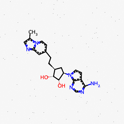 Cc1cnc2cc(CC[C@H]3C[C@@H](n4ccc5c(N)ncnc54)[C@H](O)[C@@H]3O)ccn12